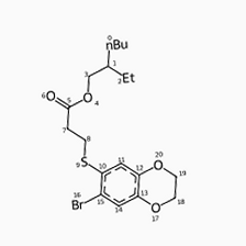 CCCCC(CC)COC(=O)CCSc1cc2c(cc1Br)OCCO2